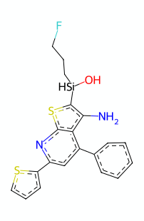 Nc1c([SiH](O)CCCF)sc2nc(-c3cccs3)cc(-c3ccccc3)c12